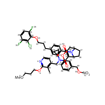 COCCCOc1nccc(CN(C(=O)C2=C(c3ccc(CCCOc4c(F)ccc(F)c4Cl)cc3)CC3CCC2N3C(=O)Oc2cccc(CO[N+](=O)[O-])c2)C2CC2)c1C